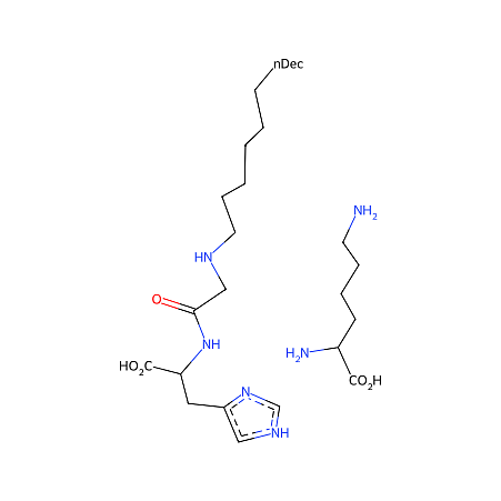 CCCCCCCCCCCCCCCCNCC(=O)NC(Cc1c[nH]cn1)C(=O)O.NCCCCC(N)C(=O)O